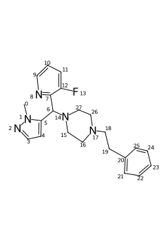 Cn1nccc1C(c1ncccc1F)N1CCN(CCc2ccccc2)CC1